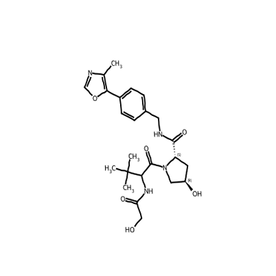 Cc1ncoc1-c1ccc(CNC(=O)[C@@H]2C[C@@H](O)CN2C(=O)C(NC(=O)CO)C(C)(C)C)cc1